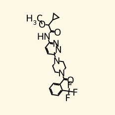 COC(C(=O)Nc1ccc(N2CCN(C(=O)c3ccccc3C(F)(F)F)CC2)nn1)C1CC1